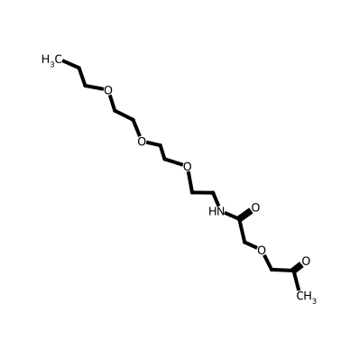 CCCOCCOCCOCCNC(=O)COCC(C)=O